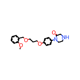 COc1ccccc1COCCCOc1ccc(N2CCNCC2=O)cc1